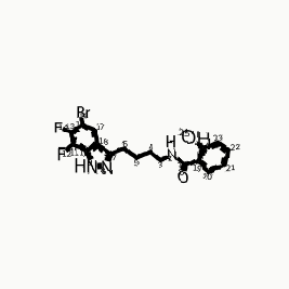 O=C(NCCCCc1n[nH]c2c(F)c(F)c(Br)cc12)c1ccccc1O